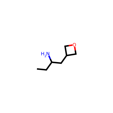 CCC(N)CC1COC1